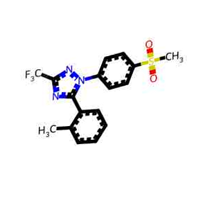 Cc1ccccc1-c1nc(C(F)(F)F)nn1-c1ccc(S(C)(=O)=O)cc1